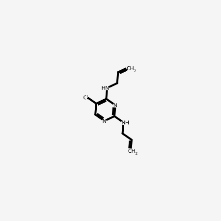 C=CCNc1ncc(Cl)c(NCC=C)n1